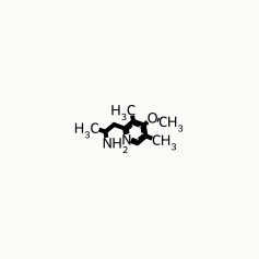 COc1c(C)cnc(CC(C)N)c1C